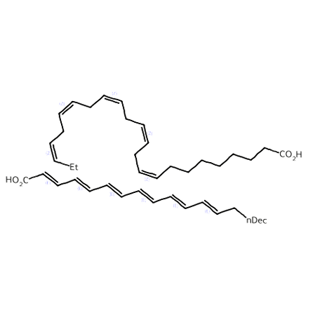 CC/C=C\C/C=C\C/C=C\C/C=C\C/C=C\CCCCCCCC(=O)O.CCCCCCCCCCC/C=C/C=C/C=C/C=C/C=C/C=C/C(=O)O